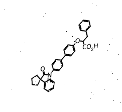 O=C(O)C(Cc1ccccc1)Oc1ccc(-c2ccc(NC(=O)C3(c4ccccc4)CCCC3)cc2)cc1